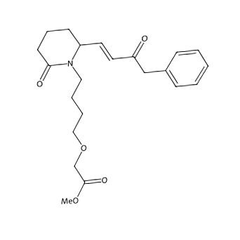 COC(=O)COCCCCN1C(=O)CCCC1C=CC(=O)Cc1ccccc1